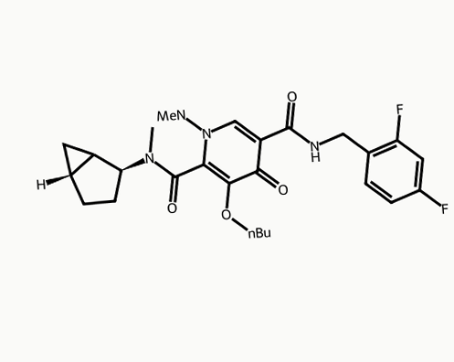 CCCCOc1c(C(=O)N(C)[C@H]2CC[C@@H]3CC32)n(NC)cc(C(=O)NCc2ccc(F)cc2F)c1=O